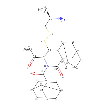 COC(=O)[C@H](CSSC[C@H](N)C(=O)O)N(C(=O)C12CC3CC(CC(C3)C1)C2)C(=O)C12CC3CC(CC(C3)C1)C2